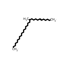 [CH2]CCCCC=CCCCCC(C)CCCCCCCCCCCCCCCC[CH2]